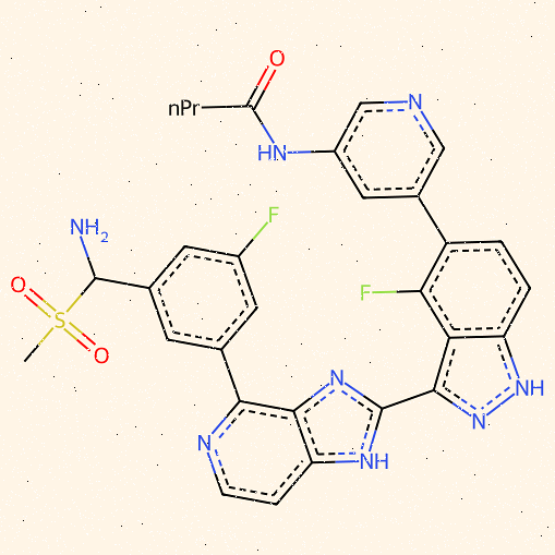 CCCC(=O)Nc1cncc(-c2ccc3[nH]nc(-c4nc5c(-c6cc(F)cc(C(N)S(C)(=O)=O)c6)nccc5[nH]4)c3c2F)c1